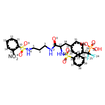 O=C(NCCCNS(=O)(=O)c1ccccc1[N+](=O)[O-])C(Cc1ccc(C(F)(F)P(=O)(O)O)cc1)NS(=O)(=O)c1ccccc1